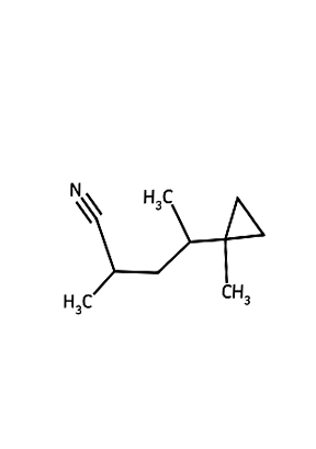 CC(C#N)CC(C)C1(C)CC1